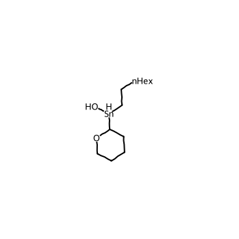 CCCCCCC[CH2][SnH]([OH])[CH]1CCCCO1